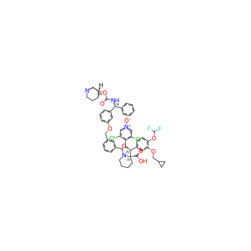 O=C(N[C@@H](c1ccccc1)c1cccc(OCc2cccc(C(=O)N3CCCC[C@@]3(C(=O)O)[C@@H](Cc3c(Cl)c[n+]([O-])cc3Cl)c3ccc(OC(F)F)c(OCC4CC4)c3)c2)c1)O[C@H]1CN2CCC1CC2